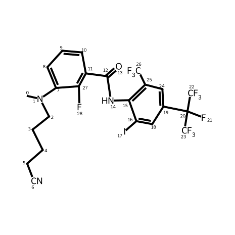 CN(CCCCC#N)c1cccc(C(=O)Nc2c(I)cc(C(F)(C(F)(F)F)C(F)(F)F)cc2C(F)(F)F)c1F